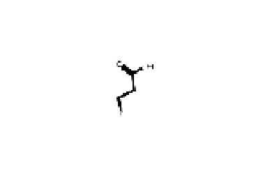 O=C(O)CCF